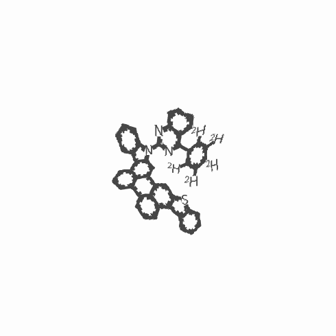 [2H]c1c([2H])c([2H])c(-c2nc(-n3c4ccccc4c4c5cccc6c7cccc8c9c(cc(c(cc43)c65)c78)sc3ccccc39)nc3ccccc23)c([2H])c1[2H]